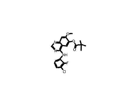 COc1cc2ncnc(Nc3cccc(Cl)c3F)c2cc1OC(=O)C(C)(C)C